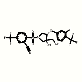 N#Cc1cc(C(F)(F)F)ccc1S(=O)(=O)N1C[C@H](Oc2ccc(C(F)(F)F)c(F)c2)[C@](O)(CO)C1